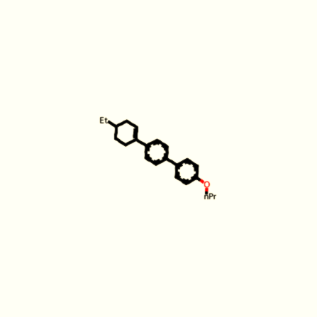 CCCOc1ccc(-c2ccc(C3=CCC(CC)CC3)cc2)cc1